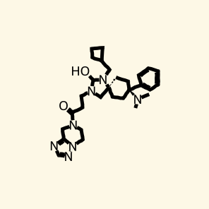 CN(C)[C@]1(c2ccccc2)CC[C@]2(CC1)CN(CCC(=O)N1CCn3ncnc3C1)C(O)N2CC1CCC1